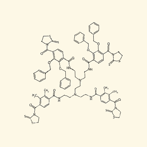 Cc1c(C(=O)NCCN(CCNC(=O)c2ccc(C(=O)N3CCSC3=S)c(C)c2C)CCN(CCNC(=O)c2ccc(C(=O)N3CCSC3=S)c(OCc3ccccc3)c2OCc2ccccc2)CCNC(=O)c2ccc(C(=O)N3CCSC3=S)c(OCc3ccccc3)c2OCc2ccccc2)ccc(C(=O)N2CCSC2=S)c1C